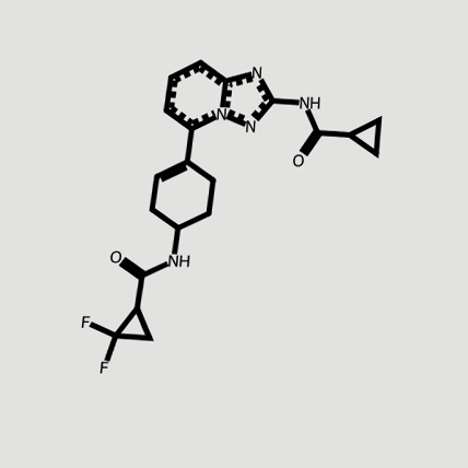 O=C(Nc1nc2cccc(C3=CCC(NC(=O)C4CC4(F)F)CC3)n2n1)C1CC1